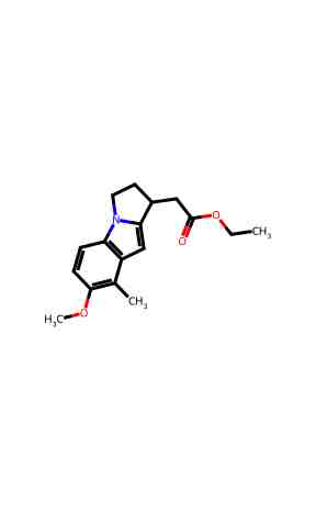 CCOC(=O)CC1CCn2c1cc1c(C)c(OC)ccc12